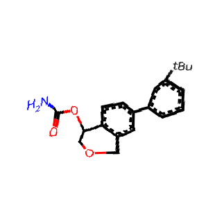 CC(C)(C)c1cccc(-c2ccc3c(c2)COCC3OC(N)=O)c1